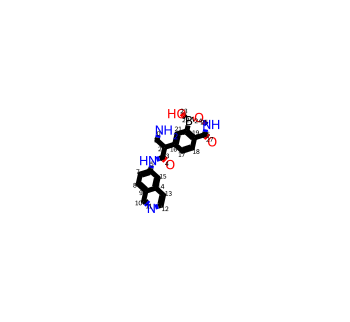 NCC(C(=O)Nc1ccc2cnccc2c1)c1ccc2c(c1)B(O)ONC2=O